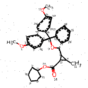 COc1ccc(C(OCC2C(C)C2C(=O)OC2CCCCC2)(c2ccccc2)c2ccc(OC)cc2)cc1